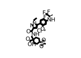 CCn1nc(C(=O)NCC2(C(=O)O)CCC(S(C)(=O)=O)CC2)c(Cl)c1-c1ccc(N[C@H](C)C(F)(F)F)cc1OC